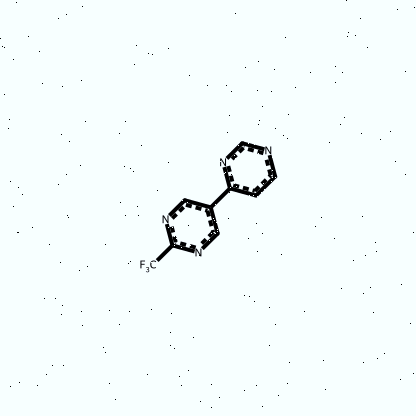 FC(F)(F)c1ncc(-c2ccncn2)cn1